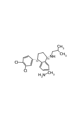 CC(C)CN[C@H]1CC[C@@H](c2ccc(Cl)c(Cl)c2)c2ccccc21.CN